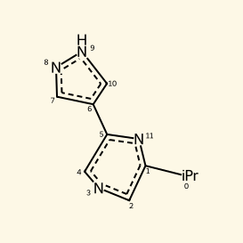 CC(C)c1cncc(-c2cn[nH]c2)n1